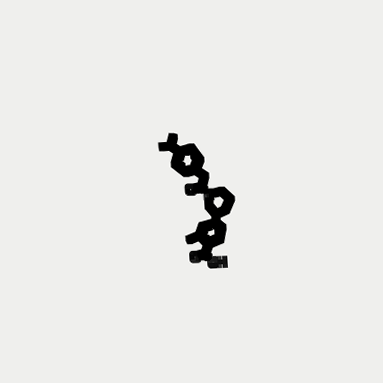 Cc1cc(C2CCCN(C(=O)Cc3ccc(C(C)C)cc3)C2)ccc1C(=O)O